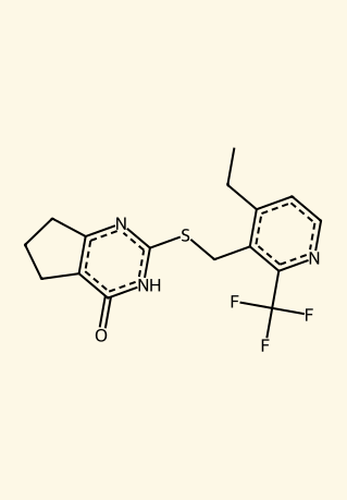 CCc1ccnc(C(F)(F)F)c1CSc1nc2c(c(=O)[nH]1)CCC2